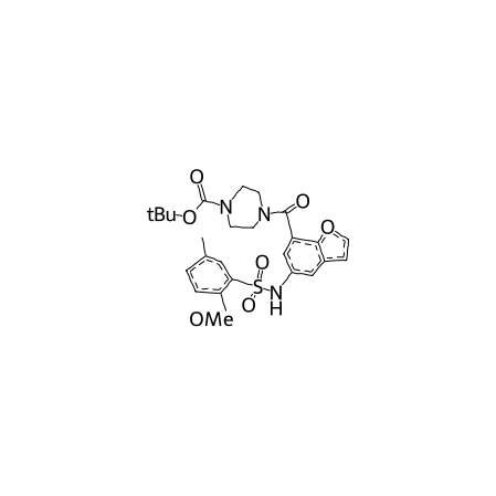 COc1ccc(C)cc1S(=O)(=O)Nc1cc(C(=O)N2CCN(C(=O)OC(C)(C)C)CC2)c2occc2c1